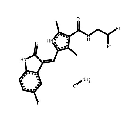 CCC(CC)CNC(=O)c1c(C)[nH]c(C=C2C(=O)Nc3ccc(F)cc32)c1C.[NH3+][O-]